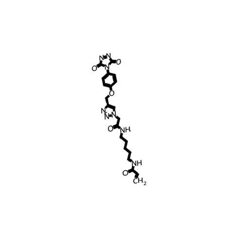 C=CC(=O)NCCCCCNC(=O)Cn1cc(COc2ccc(N3C(=O)N=NC3=O)cc2)nn1